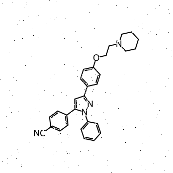 N#Cc1ccc(-c2cc(-c3ccc(OCCN4CCCCC4)cc3)nn2-c2ccccc2)cc1